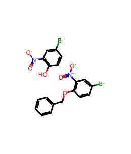 O=[N+]([O-])c1cc(Br)ccc1O.O=[N+]([O-])c1cc(Br)ccc1OCc1ccccc1